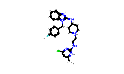 Cc1cc(Cl)nc(NCCN2CCC(Nc3nc4ccccc4n3Cc3ccc(F)cc3)CC2)n1